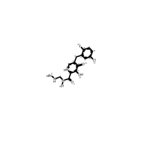 CCCCNCN(CC)C(=O)c1[nH]cc(Cc2cc(Cl)ccc2F)c(=O)c1O